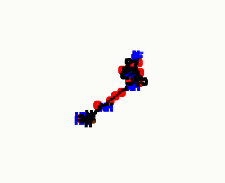 CC(=O)N[C@@H](Cc1ccccc1)C(=O)N[C@@H](CCC(=O)C=[N+]=[N-])C(=O)N[C@@H](Cc1ccccc1)C(=O)NCC(=O)NCCCOCCOCCOCCCNC(=O)CCCC[C@@H]1SC[C@@H]2NC(=O)N[C@@H]21